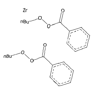 CCCCOOC(=O)c1ccccc1.CCCCOOC(=O)c1ccccc1.[Zr]